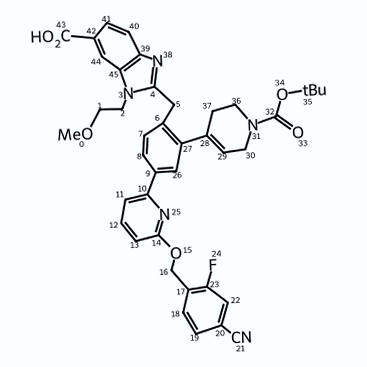 COCCn1c(Cc2ccc(-c3cccc(OCc4ccc(C#N)cc4F)n3)cc2C2=CCN(C(=O)OC(C)(C)C)CC2)nc2ccc(C(=O)O)cc21